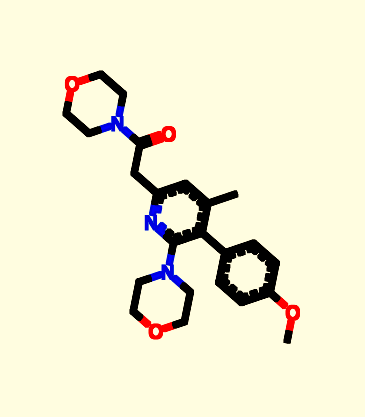 COc1ccc(-c2c(C)cc(CC(=O)N3CCOCC3)nc2N2CCOCC2)cc1